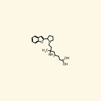 CC(N)(CCCCB(O)O)CCN1CCCC1c1cc2ccccc2o1